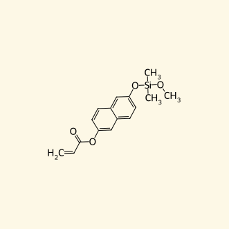 C=CC(=O)Oc1ccc2cc(O[Si](C)(C)OC)ccc2c1